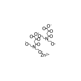 COCCN(CCOC)C(=O)CC(=O)C(=O)[O-].COCCN(CCOC)C(=O)CC(=O)C(=O)[O-].[Zn+2]